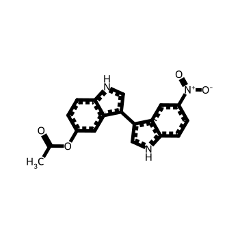 CC(=O)Oc1ccc2[nH]cc(-c3c[nH]c4ccc([N+](=O)[O-])cc34)c2c1